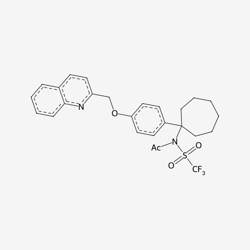 CC(=O)N(C1(c2ccc(OCc3ccc4ccccc4n3)cc2)CCCCCC1)S(=O)(=O)C(F)(F)F